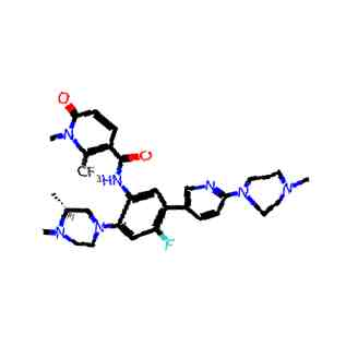 C[C@@H]1CN(c2cc(F)c(-c3ccc(N4CCN(C)CC4)nc3)cc2NC(=O)c2ccc(=O)n(C)c2C(F)(F)F)CCN1C